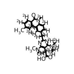 [2H]c1c([2H])c(C(=O)N([2H])c2c([2H])c([2H])c(C([2H])([2H])c3nc(N(C)C)c(C([2H])([2H])C(=O)O)c(N(C([2H])([2H])[2H])C([2H])([2H])[2H])n3)c([2H])c2[2H])c([2H])c([2H])c1C